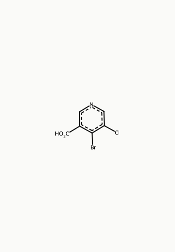 O=C(O)c1cncc(Cl)c1Br